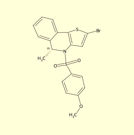 COc1ccc(S(=O)(=O)N2c3cc(Br)sc3-c3ccccc3[C@H]2C)cc1